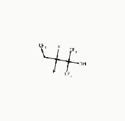 OC(C(F)(F)F)(C(F)(F)F)C(F)(F)CC(F)(F)F